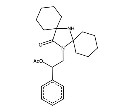 CC(=O)OC(CN1C(=O)C2(CCCCC2)NC12CCCCC2)c1ccccc1